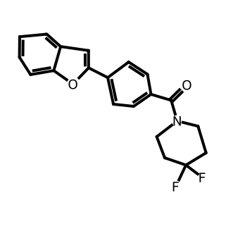 O=C(c1ccc(-c2cc3ccccc3o2)cc1)N1CCC(F)(F)CC1